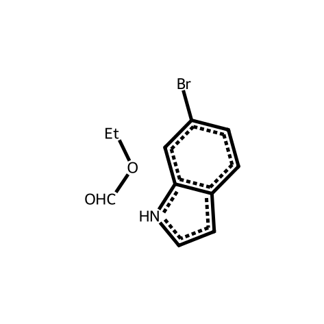 Brc1ccc2cc[nH]c2c1.CCOC=O